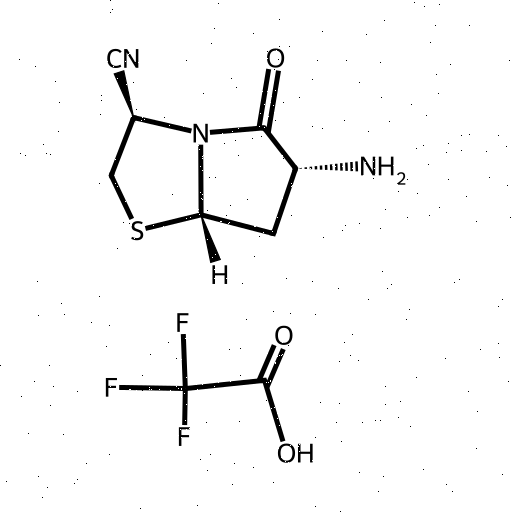 N#C[C@@H]1CS[C@H]2C[C@@H](N)C(=O)N12.O=C(O)C(F)(F)F